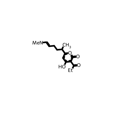 CCC(=O)c1c(O)cc(C(C)CC/C=C/NC)oc1=O